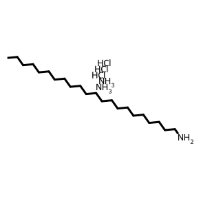 CCCCCCCCCCCCCCCCCCCCCCN.Cl.Cl.Cl.N.N